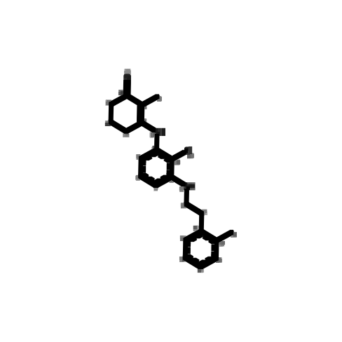 CC1=C(Nc2cccc(NCCc3ccccc3C)c2Cl)CCCC1=O